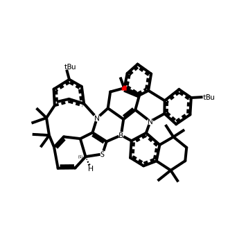 CC1=CC2=C3B(C4=C5C6C=C(C=C[C@@H]6S4)C(C)(C)C(C)(C)c4cc(cc(C(C)(C)C)c4)N5C3C1)c1ccc3c(c1N2c1ccc(C(C)(C)C)cc1-c1ccccc1)C(C)(C)CCC3(C)C